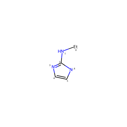 CCNC1=NC=C[N]1